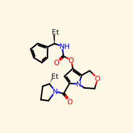 CC[C@H]1CCCN1C(=O)c1cc(OC(=O)N[C@H](CC)c2ccccc2)c2n1CCOC2